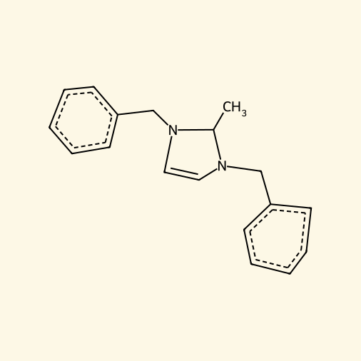 CC1N(Cc2ccccc2)C=CN1Cc1ccccc1